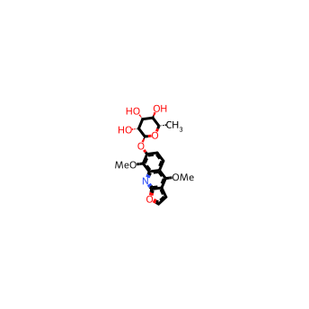 COc1c2ccoc2nc2c(OC)c(O[C@@H]3O[C@@H](C)[C@H](O)[C@@H](O)[C@H]3O)ccc12